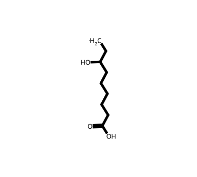 [CH2]CC(O)CCCCCC(=O)O